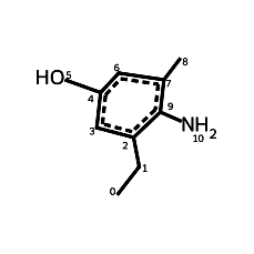 CCc1cc(O)cc(C)c1N